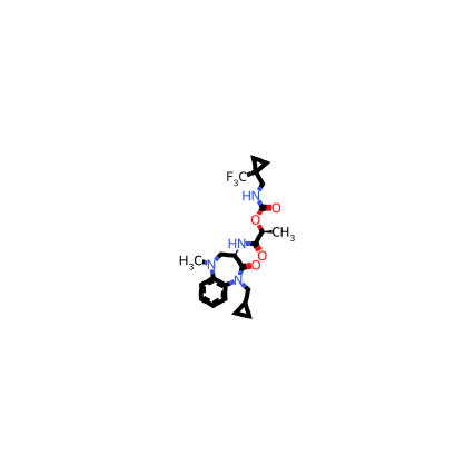 C[C@H](OC(=O)NCC1(C(F)(F)F)CC1)C(=O)N[C@H]1CN(C)c2ccccc2N(CC2CC2)C1=O